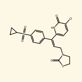 O=C1OCCN1C/C=C(/c1ccc(S(=O)(=O)C2CC2)cc1)c1ccc(Cl)c(=O)[nH]1